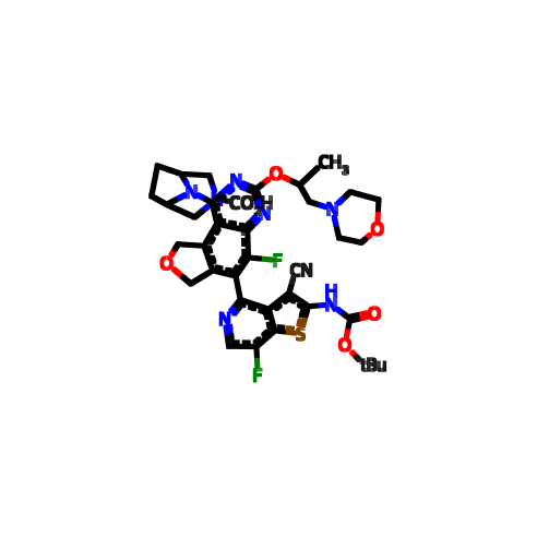 CC(CN1CCOCC1)Oc1nc(N2C3CCC2CN(C(=O)O)C3)c2c3c(c(-c4ncc(F)c5sc(NC(=O)OC(C)(C)C)c(C#N)c45)c(F)c2n1)COC3